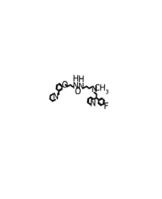 CN(CCCCNC(=O)NCCCOc1cccc(CN2CCCCC2)c1)CCC(c1ccc(F)cc1)c1ccccn1